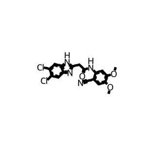 COc1cc(C#N)c(NC(=O)Cc2nc3cc(Cl)c(Cl)cc3[nH]2)cc1OC